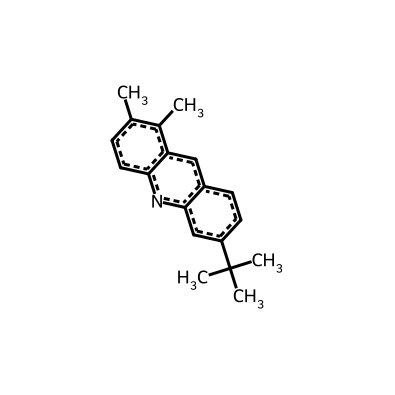 Cc1ccc2nc3cc(C(C)(C)C)ccc3cc2c1C